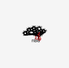 CCCCOC(=O)CCCC1(c2ccccc2)[C@]23C4=c5ccc6c7ccc8c9ccc%10c%11ccc%12c%13c(c%14c%15c2c5c6c2c7c8c5c9c%10c(c%13%11)c%14c5c%152)[C@]13C=%12C=C4